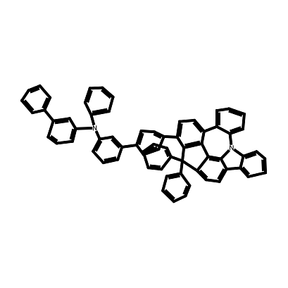 c1ccc(-c2cccc(N(c3ccccc3)c3cccc(-c4ccc(-c5ccc6c7c5C(c5ccccc5)(c5ccccc5)c5ccc8c9ccccc9n(c8c5-7)-c5ccccc5-6)cc4)c3)c2)cc1